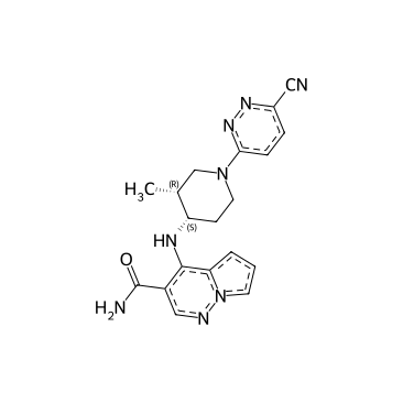 C[C@@H]1CN(c2ccc(C#N)nn2)CC[C@@H]1Nc1c(C(N)=O)cnn2cccc12